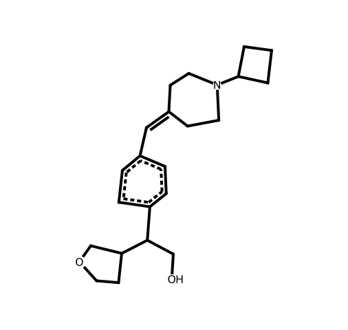 OCC(c1ccc(C=C2CCN(C3CCC3)CC2)cc1)C1CCOC1